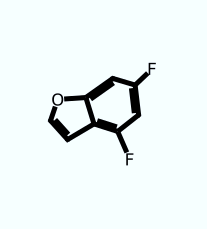 Fc1cc(F)c2ccoc2c1